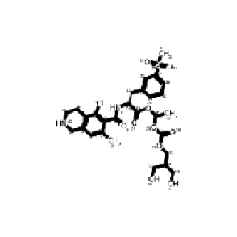 Cc1cc2c(c(Cl)c1C(=O)N[C@@H](Cc1cccc(S(C)(=O)=O)c1)C(=O)OC(C)OC(=O)OCC(CO)CO)CCNC2